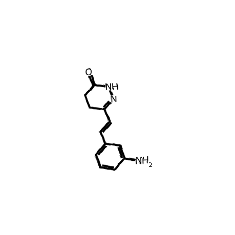 Nc1cccc(C=CC2=NNC(=O)CC2)c1